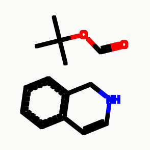 C1=Cc2ccccc2CN1.CC(C)(C)OC=O